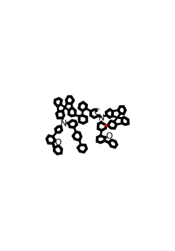 c1ccc(-c2ccc(-c3cccc(N(c4ccc(-c5cccc6c5oc5ccccc56)cc4)c4ccc5c(c4)C4(c6ccccc6-c6cc(-c7ccccc7-c7ccccc7-c7ccc(N(c8ccc(-c9cccc%10c9oc9ccccc9%10)cc8)c8ccc9c(c8)C8(c%10ccccc%10-c%10ccccc%108)c8ccccc8-9)cc7)ccc64)c4ccccc4-5)c3)cc2)cc1